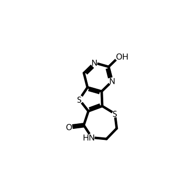 O=C1NCCSc2c1sc1cnc(O)nc21